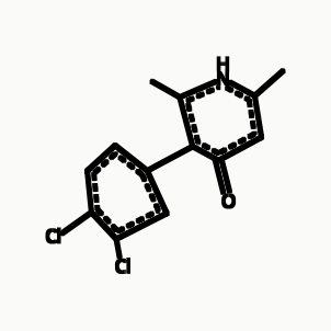 Cc1cc(=O)c(-c2ccc(Cl)c(Cl)c2)c(C)[nH]1